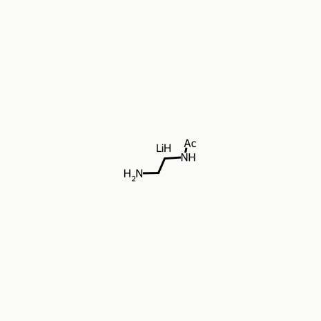 CC(=O)NCCN.[LiH]